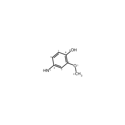 COc1cc([NH])ccc1O